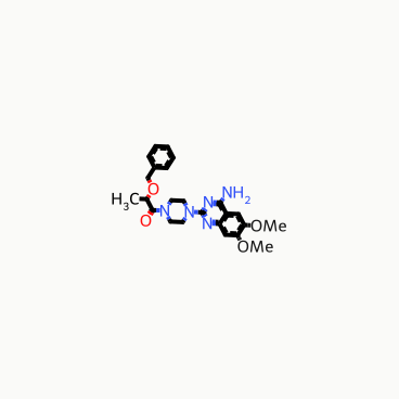 COc1cc2nc(N3CCN(C(=O)C(C)OCc4ccccc4)CC3)nc(N)c2cc1OC